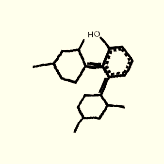 CC1CCC(=c2cccc(O)c2=C2CCC(C)CC2C)C(C)C1